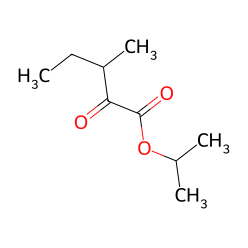 CCC(C)C(=O)C(=O)OC(C)C